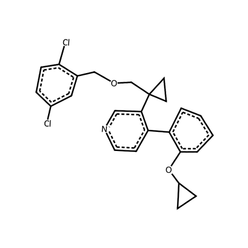 Clc1ccc(Cl)c(COCC2(c3cnccc3-c3ccccc3OC3CC3)CC2)c1